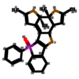 CC1=CC2=C3C4=C(SC3C3C=C(C)S[C@@]3(C)[C@]2(C)S1)C1=C(C=CCC1)[P@]4(=O)c1ccccc1